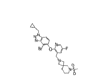 CS(=O)(=O)N1CCCC2(CN(Cc3cc(F)cnc3Oc3ccc4c(nnn4CC4CC4)c3Br)C2)C1